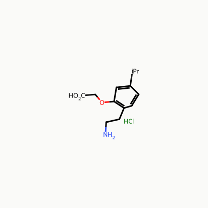 CC(C)c1ccc(CCN)c(OCC(=O)O)c1.Cl